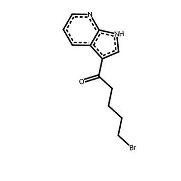 O=C(CCCCBr)c1c[nH]c2ncccc12